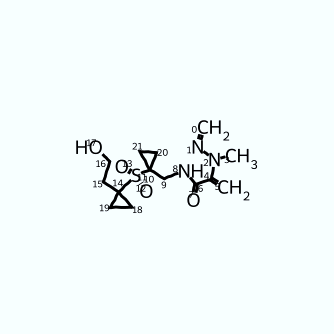 C=NN(C)C(=C)C(=O)NCC1(S(=O)(=O)C2(CCO)CC2)CC1